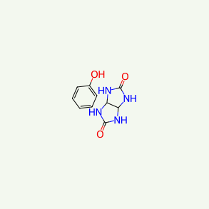 O=C1NC2NC(=O)NC2N1.Oc1ccccc1